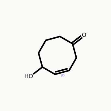 O=C1C/C=C\C(O)CCC1